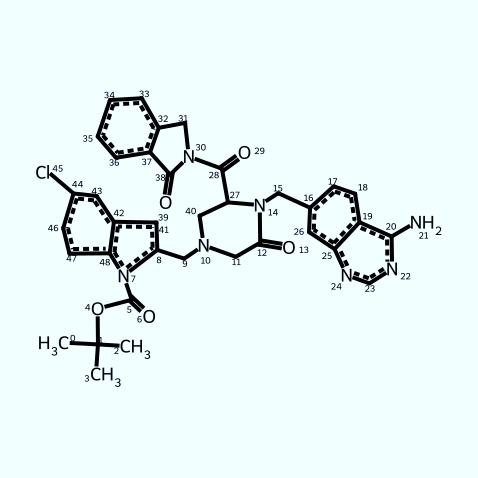 CC(C)(C)OC(=O)n1c(CN2CC(=O)N(Cc3ccc4c(N)ncnc4c3)C(C(=O)N3Cc4ccccc4C3=O)C2)cc2cc(Cl)ccc21